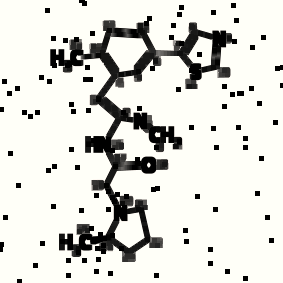 C=N/C(=C\c1cc(-c2cncs2)ccc1C)NC(=O)CN1CCC[C@H]1C